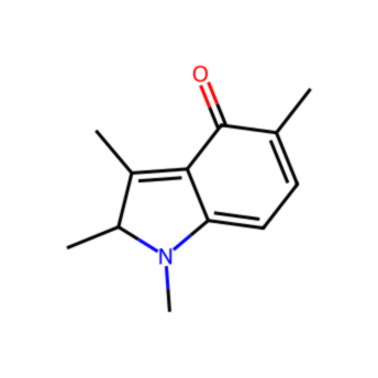 CC1=CC=C2C(=C(C)C(C)N2C)C1=O